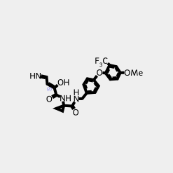 COc1ccc(Oc2ccc(CNC(=O)C3(NC(=O)/C(O)=C/C=N)CC3)cc2)c(C(F)(F)F)c1